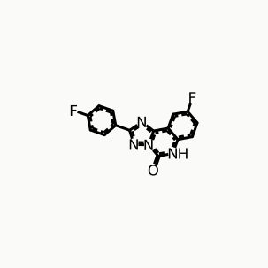 O=c1[nH]c2ccc(F)cc2c2nc(-c3ccc(F)cc3)nn12